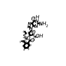 CCSSC(C)c1ccccc1C(=O)OC1C[C@H](N2C=NC3C(=O)NC(N)=NC32)O[C@@H]1CO